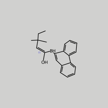 CCC(C)(C)/C=C(/O)Bc1cc2ccccc2c2ccccc12